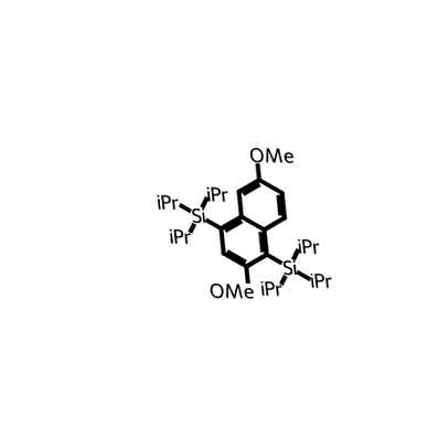 COc1ccc2c([Si](C(C)C)(C(C)C)C(C)C)c(OC)cc([Si](C(C)C)(C(C)C)C(C)C)c2c1